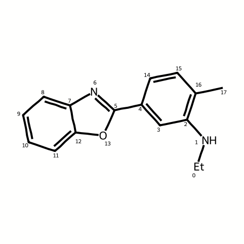 CCNc1cc(-c2nc3ccccc3o2)ccc1C